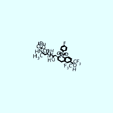 CC(C)(CC(=O)NNC(=O)C[C@@H]1CCc2cc(C(O)(C(F)(F)F)C(F)(F)F)ccc2N1S(=O)(=O)c1ccc(F)cc1)NC(=O)OC(C)(C)C